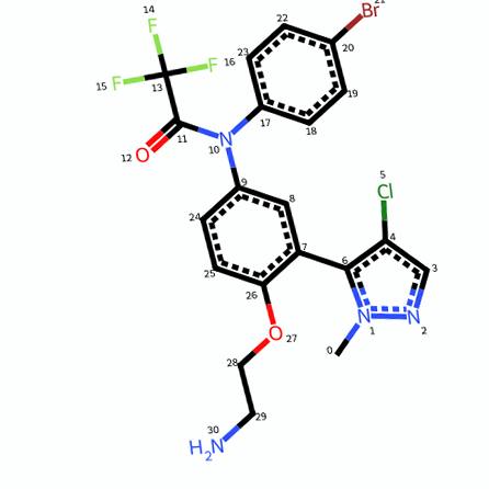 Cn1ncc(Cl)c1-c1cc(N(C(=O)C(F)(F)F)c2ccc(Br)cc2)ccc1OCCN